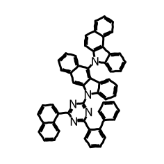 c1ccc(-c2ccccc2-c2nc(-c3cccc4ccccc34)nc(-n3c4ccccc4c4c(-n5c6ccccc6c6c7ccccc7ccc65)c5ccccc5cc43)n2)cc1